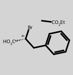 CCOC(C)=O.O=C(O)[C@H](Br)Cc1ccccc1